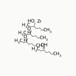 CCCCC(CC)CO.CCCCC(CC)CO.CCCCC(CC)CO.CCCCC(CC)CO.[Zr]